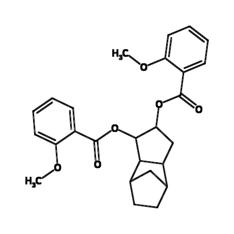 COc1ccccc1C(=O)OC1CC2C3CCC(C3)C2C1OC(=O)c1ccccc1OC